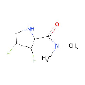 CN(C)C(=O)C1NCC(F)C1F